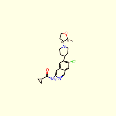 C[C@H]1OCC[C@H]1N1CCC(c2cc3cc(NC(=O)C4CC4)ncc3cc2Cl)CC1